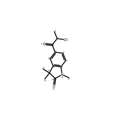 CC(Cl)C(=O)c1ccc2c(c1)C(C)(C)C(=O)N2C